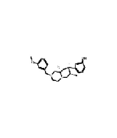 COc1cccc(CN2CCN3C[C@H](C)[C@](C)(c4cccc(O)c4)C[C@@H]3C2)c1